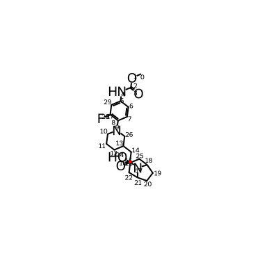 COC(=O)Nc1ccc(N2CCCC(CC(=O)N3C4CCC3CC(O)C4)C2)c(F)c1